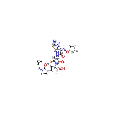 C#CCN1CCC(=CC2=C(C(=O)O)N3C(=O)[C@@H](NC(=O)/C(=N\OC4CCCC4)c4csc(N)n4)[C@H]3SC2)C1=O